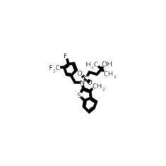 Cc1c(N(Cc2ccc(F)c(C(F)(F)F)c2)S(=O)(=O)CCC(C)(C)O)sc2ccccc12